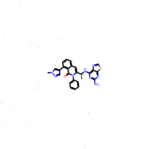 C[C@H](Nc1nc(N)nc2scnc12)c1cc2cccc(-c3cnn(C)c3)c2c(=O)n1-c1ccccc1